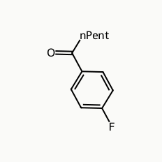 C[CH]CCCC(=O)c1ccc(F)cc1